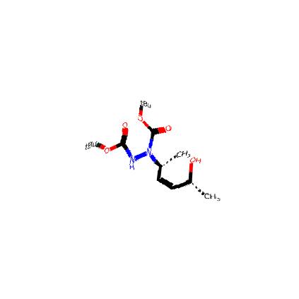 C[C@H](/C=C\[C@@H](C)O)N(NC(=O)OC(C)(C)C)C(=O)OC(C)(C)C